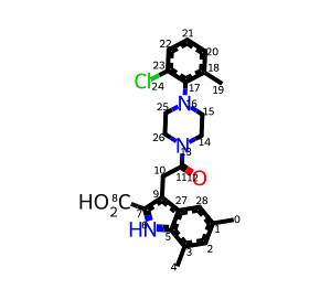 Cc1cc(C)c2[nH]c(C(=O)O)c(CC(=O)N3CCN(c4c(C)cccc4Cl)CC3)c2c1